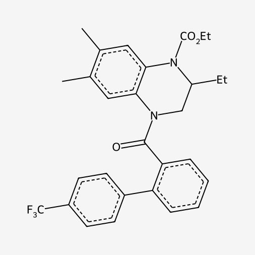 CCOC(=O)N1c2cc(C)c(C)cc2N(C(=O)c2ccccc2-c2ccc(C(F)(F)F)cc2)CC1CC